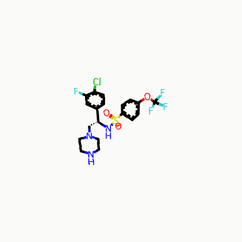 O=S(=O)(N[C@H](CN1CCNCC1)c1ccc(Cl)c(F)c1)c1ccc(OC(F)(F)F)cc1